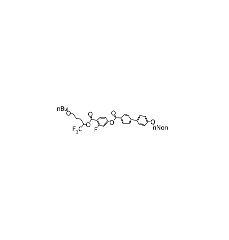 CCCCCCCCCOc1ccc(-c2ccc(C(=O)Oc3ccc(C(=O)OC(CCCOCCCC)C(F)(F)F)c(F)c3)cc2)cc1